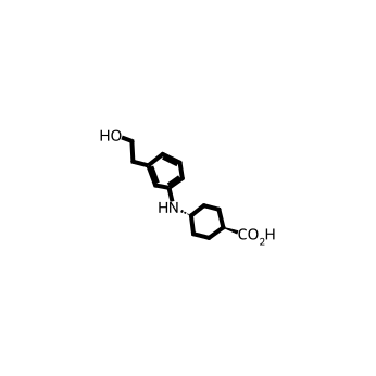 O=C(O)[C@H]1CC[C@H](Nc2cccc(CCO)c2)CC1